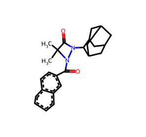 CC1(C)C(=O)N(C2C3CC4CC(C3)CC2C4)N1C(=O)c1ccc2ccccc2c1